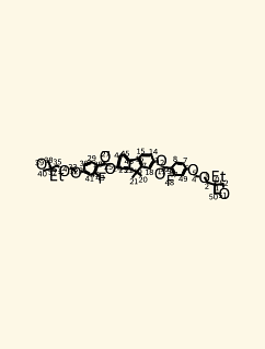 CCC1(COCOc2ccc(C(=O)Oc3ccc4c(c3)C(C)(C)c3cc(OC(=O)c5ccc(OCOCC6(CC)COC6)cc5F)ccc3-4)c(F)c2)COC1